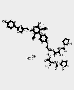 CC(NC(=O)[C@@H]1CCCN1)C(=O)O[C@H](COC(=O)[C@H](C)NC(=O)[C@@H]1CCCN1)COc1ccc(-c2c(C#N)c(N)nc(SCc3coc(-c4ccc(Cl)cc4)n3)c2C#N)cc1.Cl.Cl